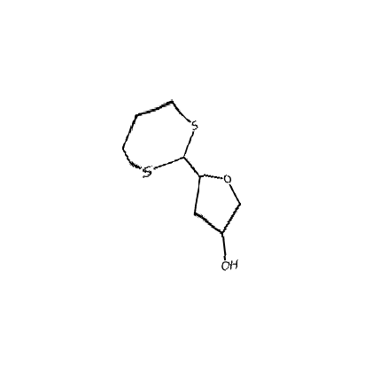 OC1COC(C2SCCCS2)C1